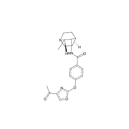 CC(=O)c1coc(Oc2ccc(C(=O)N[C@@H]3C4CCN(CC4)[C@H]3C)cc2)n1